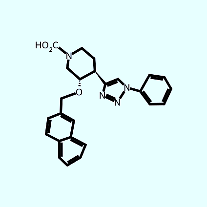 O=C(O)N1CC[C@@H](c2cn(-c3ccccc3)nn2)[C@H](OCc2ccc3ccccc3c2)C1